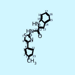 Cc1ccc(-c2csc(NC(=O)c3cc4ccccc4[nH]3)n2)cc1